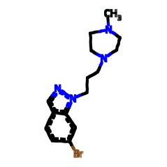 CN1CCN(CCCn2ncc3ccc(Br)cc32)CC1